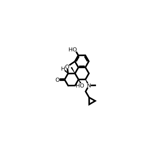 CN(CC1CC1)[C@@H]1Cc2ccc(O)c3c2[C@@]2(C)[C@@H](O3)C(=O)CC[C@@]12O